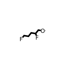 [O]CC(F)CCCF